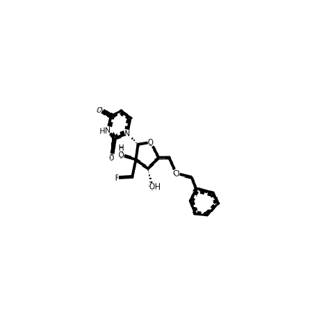 O=c1ccn([C@@H]2OC(COCc3ccccc3)[C@H](O)C2(O)CF)c(=O)[nH]1